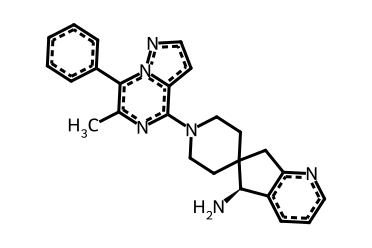 Cc1nc(N2CCC3(CC2)Cc2ncccc2[C@H]3N)c2ccnn2c1-c1ccccc1